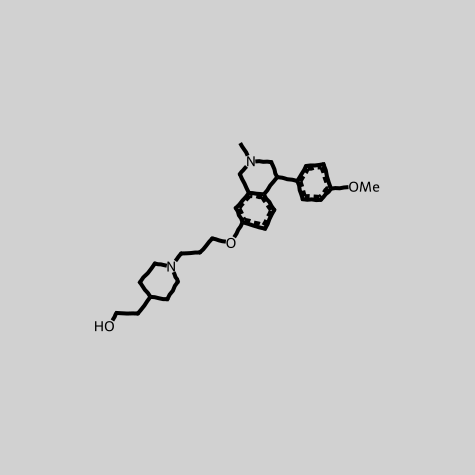 COc1ccc(C2CN(C)Cc3cc(OCCCN4CCC(CCO)CC4)ccc32)cc1